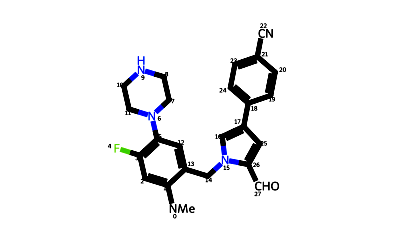 CNc1cc(F)c(N2CCNCC2)cc1Cn1cc(-c2ccc(C#N)cc2)cc1C=O